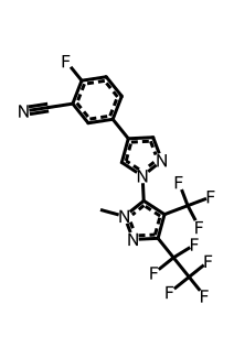 Cn1nc(C(F)(F)C(F)(F)F)c(C(F)(F)F)c1-n1cc(-c2ccc(F)c(C#N)c2)cn1